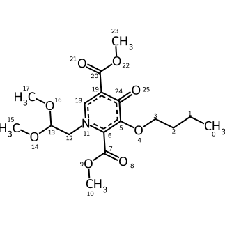 CCCCOc1c(C(=O)OC)n(CC(OC)OC)cc(C(=O)OC)c1=O